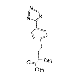 O=C(O)C(O)CCc1ccc(-c2ncncn2)cc1